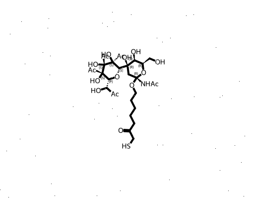 CC(=O)N[C@@]1(OCCCCCC(=O)CS)C[C@](O)([C@@H]2O[C@H](C(O)C(C)=O)[C@@](O)(C(C)=O)[C@@](O)(C(C)=O)[C@]2(O)C(C)=O)[C@@H](O)[C@@H](CO)O1